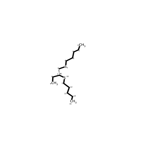 CCCCCSC[C@@H](CC)SCCCCC